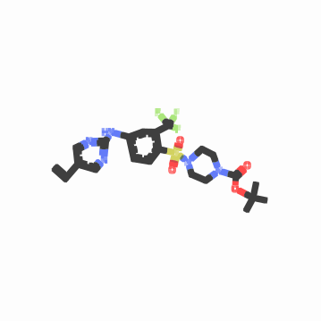 C=Cc1cnc(Nc2ccc(S(=O)(=O)N3CCN(C(=O)OC(C)(C)C)CC3)c(C(F)(F)F)c2)nc1